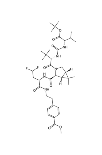 COC(=O)c1ccc(CCNC(=O)C(CC(F)F)NC(=O)[C@@H]2[C@@H]3[C@H](CN2C(=O)[C@@H](NC(=O)N[C@H](C(=O)OC(C)(C)C)C(C)C)C(C)(C)C)C3(C)C)cc1